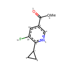 COC(=O)c1cnc(C2CC2)c(F)c1